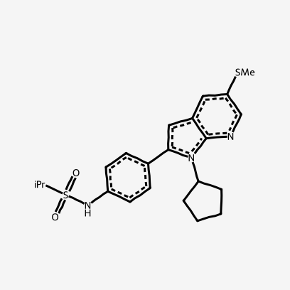 CSc1cnc2c(c1)cc(-c1ccc(NS(=O)(=O)C(C)C)cc1)n2C1CCCC1